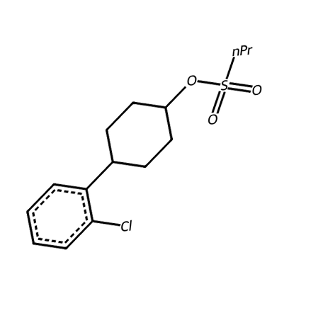 CCCS(=O)(=O)OC1CCC(c2ccccc2Cl)CC1